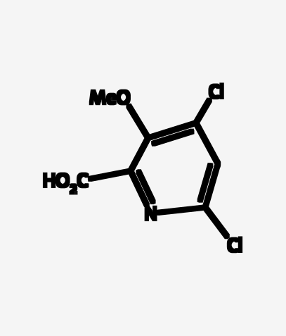 COc1c(Cl)cc(Cl)nc1C(=O)O